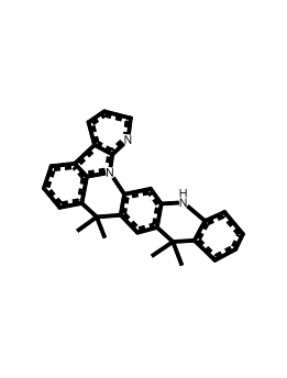 CC1(C)c2ccccc2Nc2cc3c(cc21)C(C)(C)c1cccc2c4cccnc4n-3c12